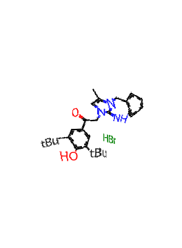 Br.Cc1cn(CC(=O)c2cc(C(C)(C)C)c(O)c(C(C)(C)C)c2)c(=N)n1Cc1ccccc1